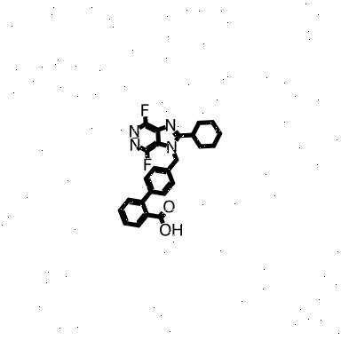 O=C(O)c1ccccc1-c1ccc(Cn2c(C3CCCCC3)nc3c(F)nnc(F)c32)cc1